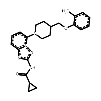 Cc1ccccc1OCC1CCN(c2cccc3nc(NC(=O)C4CC4)nn23)CC1